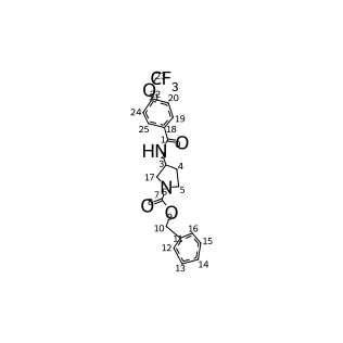 O=C(NC1CCN(C(=O)OCc2ccccc2)C1)c1ccc(OC(F)(F)F)cc1